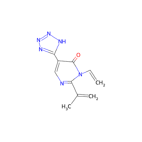 C=Cn1c(C(=C)C)ncc(-c2nnn[nH]2)c1=O